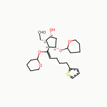 O=CC[C@H]1[C@H](C(=CCCCc2cccs2)OC2CCCCO2)[C@@H](OC2CCCCO2)C[C@H]1O